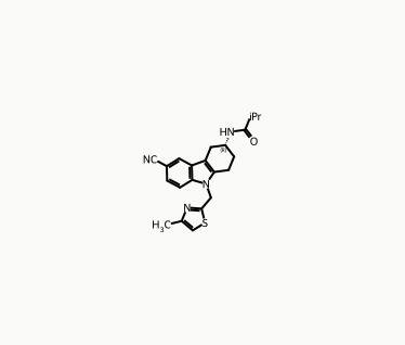 Cc1csc(Cn2c3c(c4cc(C#N)ccc42)C[C@H](NC(=O)C(C)C)CC3)n1